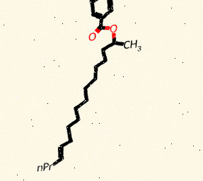 CCCC=CCCCCCCCCCCC(C)OC(=O)c1ccccc1